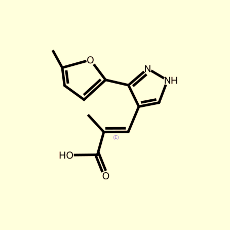 C/C(=C\c1c[nH]nc1-c1ccc(C)o1)C(=O)O